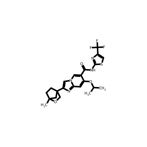 CC(C)Oc1cc2nc(C34CCC(C)(C3)OC4)cn2cc1C(=O)Nc1nc(C(F)(F)F)cs1